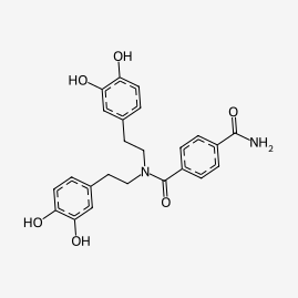 NC(=O)c1ccc(C(=O)N(CCc2ccc(O)c(O)c2)CCc2ccc(O)c(O)c2)cc1